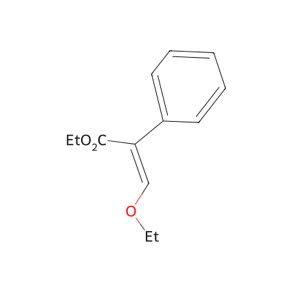 CCOC=C(C(=O)OCC)c1ccccc1